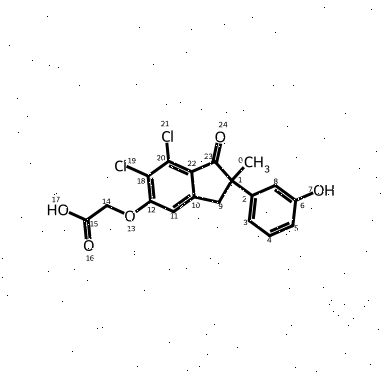 CC1(c2cccc(O)c2)Cc2cc(OCC(=O)O)c(Cl)c(Cl)c2C1=O